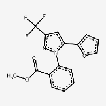 COC(=O)c1ccccc1-n1nc(C(F)(F)F)cc1-c1ccco1